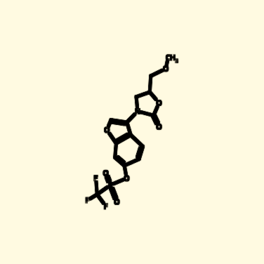 COCC1CN(c2coc3cc(OS(=O)(=O)C(F)(F)F)ccc23)C(=O)O1